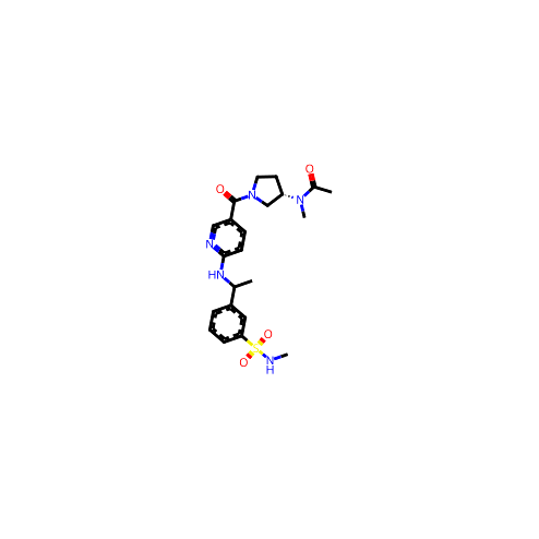 CNS(=O)(=O)c1cccc(C(C)Nc2ccc(C(=O)N3CC[C@H](N(C)C(C)=O)C3)cn2)c1